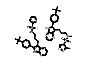 CC(C)(C)c1ccc(-c2[nH]c3nccnc3c2CCCNS(=O)(=O)c2cccs2)cc1.Cc1nocc1S(=O)(=O)N(C)CCCc1c(-c2ccc(C(C)(C)C)cc2)[nH]c2nccnc12